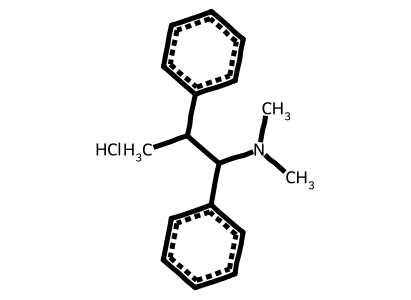 CC(c1ccccc1)C(c1ccccc1)N(C)C.Cl